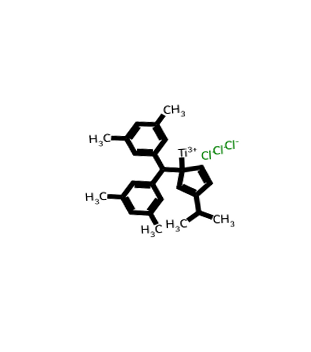 Cc1cc(C)cc(C(c2cc(C)cc(C)c2)[C]2([Ti+3])C=CC(C(C)C)=C2)c1.[Cl-].[Cl-].[Cl-]